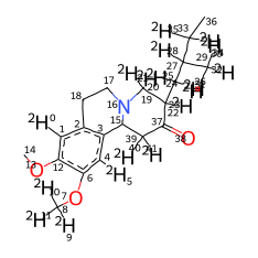 [2H]c1c2c(c([2H])c(OC([2H])([2H])[2H])c1OC)C1N(CC2)C([2H])([2H])C([2H])(C([2H])([2H])C([2H])(C([2H])([2H])[2H])C([2H])([2H])C)C(=O)C1([2H])[2H]